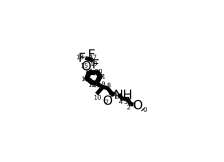 COCCCNC(=O)CC(C)c1ccc(OC(F)(F)F)cc1